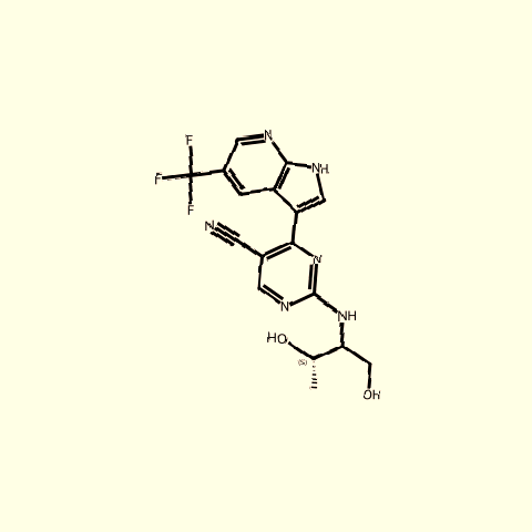 C[C@H](O)C(CO)Nc1ncc(C#N)c(-c2c[nH]c3ncc(C(F)(F)F)cc23)n1